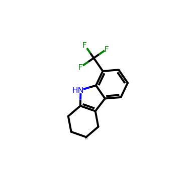 FC(F)(F)c1cccc2c3c([nH]c12)CC[C]C3